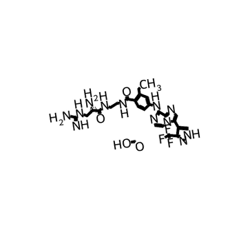 CCc1cc(Nc2nccn3c(-c4c[nH]nc4C(F)(F)F)cnc23)ccc1C(=O)NCCNC(=O)[C@@H](N)CNC(=N)N.O=CO